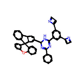 C1=CC2c3ccccc3C3(c4ccccc4Oc4ccccc43)C2C=C1C1N=C(c2ccccc2)N=C(c2cc(C3=CC=N3)cc(C3=CC=N3)c2)N1